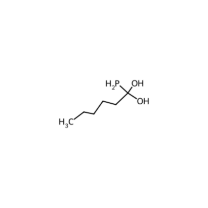 CCCCCC(O)(O)P